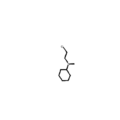 CN(CCCl)C1CCCCC1